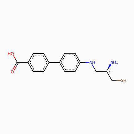 N[C@@H](CS)CNc1ccc(-c2ccc(C(=O)O)cc2)cc1